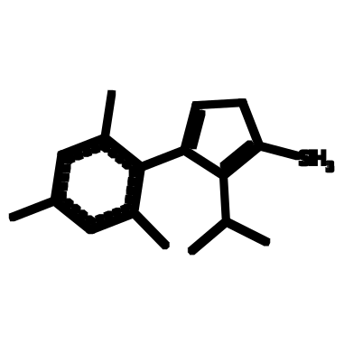 Cc1cc(C)c(C2=CCC([SiH3])=C2C(C)C)c(C)c1